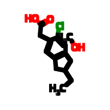 CCC1Cc2cc(Cl)c(CC(=O)O)cc2C1.CO